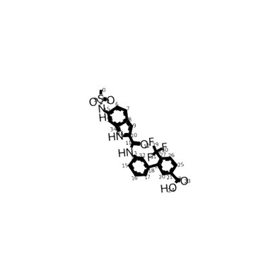 CS(=O)(=O)Nc1ccc2cc(C(=O)Nc3cccc(-c4cc(C(=O)O)ccc4C(F)(F)F)c3)[nH]c2c1